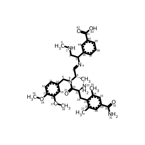 CNCC(/N=C/[C@H](C)N(Cc1ccc(OC)c(OC)c1)C(=O)[C@@H](N)Cc1c(C)cc(C(N)=O)cc1C)c1cccc(C(=O)O)c1